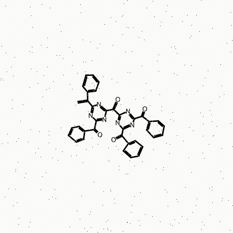 C=C(c1ccccc1)c1nc(C(=O)c2ccccc2)nc(C(=O)c2nc(C(=O)c3ccccc3)nc(C(=O)c3ccccc3)n2)n1